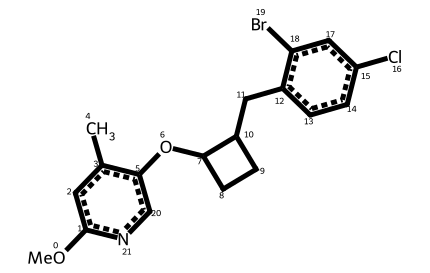 COc1cc(C)c(OC2CCC2Cc2ccc(Cl)cc2Br)cn1